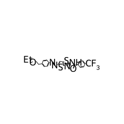 CCOCCc1ccc(N=Nc2cc3sc(NC(=O)c4ccc(C(F)(F)F)cc4)nc3s2)cc1